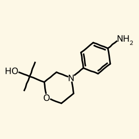 CC(C)(O)C1CN(c2ccc(N)cc2)CCO1